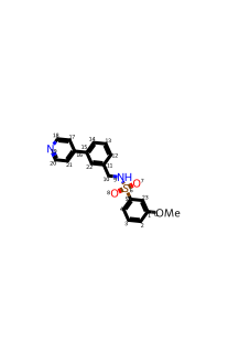 COc1cccc(S(=O)(=O)NCc2cccc(-c3ccncc3)c2)c1